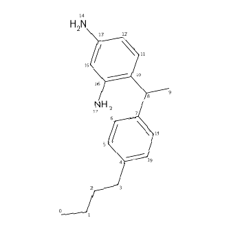 CCCCc1ccc(C(C)c2ccc(N)cc2N)cc1